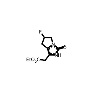 CCOC(=O)Cc1[nH]c(=S)n2c1CC(F)C2